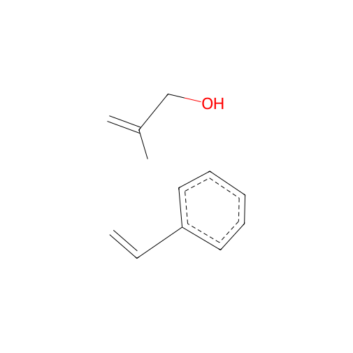 C=C(C)CO.C=Cc1ccccc1